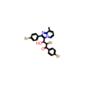 Cc1cccn2c(C(O)C(Br)C(=O)c3ccc(Br)cc3)c(-c3ccc(Br)cc3)nc12